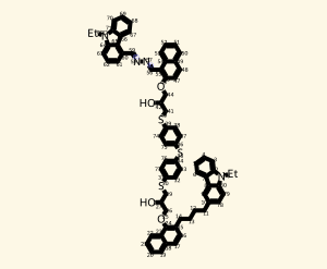 CCn1c2ccccc2c2cc(CCCCc3ccc4ccccc4c3OCC(O)CSc3ccc(Sc4ccc(SCC(O)COc5ccc6ccccc6c5/C=N/N=C/c5cccc6c5c5ccccc5n6CC)cc4)cc3)ccc21